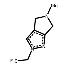 CC(C)(C)N1Cc2cn(CC(F)(F)F)nc2C1